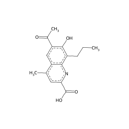 CCCc1c(O)c(C(C)=O)cc2c(C)cc(C(=O)O)nc12